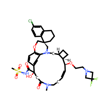 CN1CCC=C[C@H](OCCN2CC(F)(F)C2)[C@@H]2CC[C@H]2CN2C[C@@]3(CCCc4cc(Cl)ccc43)COc3ccc(cc32)[C@@](O)(C(=O)NS(C)(=O)=O)CC1=O